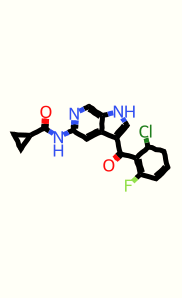 O=C(C1=C(F)C=CCC1Cl)c1c[nH]c2cnc(NC(=O)C3CC3)cc12